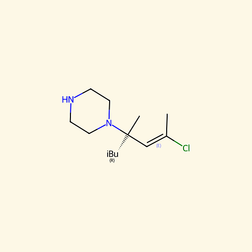 CC[C@@H](C)C(C)(/C=C(\C)Cl)N1CCNCC1